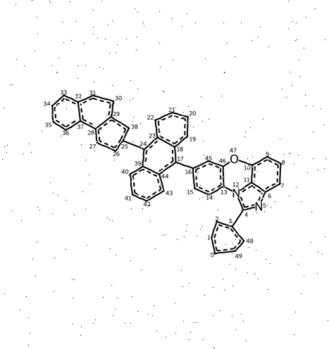 c1ccc(-c2nc3cccc4c3n2-c2ccc(-c3c5ccccc5c(-c5ccc6c(ccc7ccccc76)c5)c5ccccc35)cc2O4)cc1